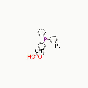 CC(=O)O.[Pt].c1ccc(P(c2ccccc2)c2ccccc2)cc1